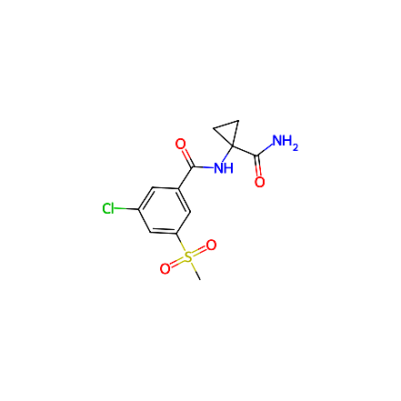 CS(=O)(=O)c1cc(Cl)cc(C(=O)NC2(C(N)=O)CC2)c1